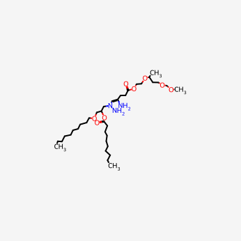 CCCCCCCCCCOCC(CN(N)/C=C(\N)CCC(=O)OCCOC(C)CCOCOC)OC(=O)CCCCCCCCC